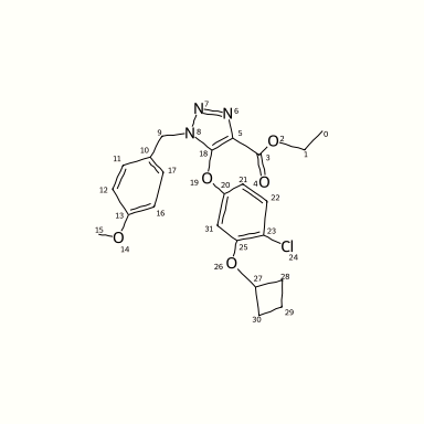 CCOC(=O)c1nnn(Cc2ccc(OC)cc2)c1Oc1ccc(Cl)c(OC2CCC2)c1